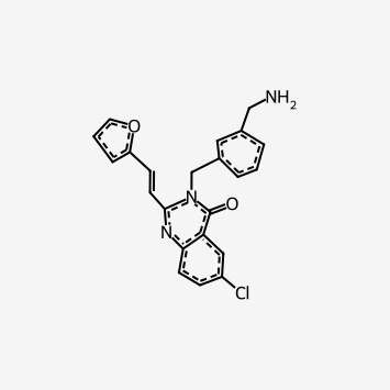 NCc1cccc(Cn2c(/C=C/c3ccco3)nc3ccc(Cl)cc3c2=O)c1